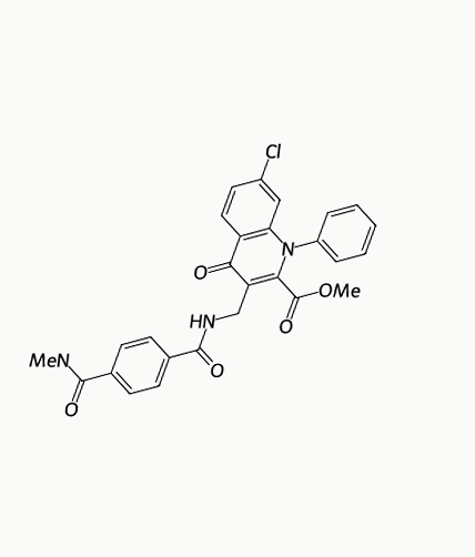 CNC(=O)c1ccc(C(=O)NCc2c(C(=O)OC)n(-c3ccccc3)c3cc(Cl)ccc3c2=O)cc1